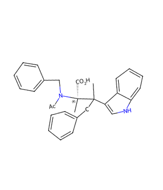 CC(=O)N(Cc1ccccc1)[C@@](C)(C(=O)O)C(C)(Cc1ccccc1)c1c[nH]c2ccccc12